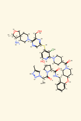 Cc1cn([C@H](C(=O)N2C[C@H](O)C[C@H]2C(=O)NCc2ccccc2OC2CCN(C(=O)C3CCN(c4nccc(Sc5cnc(N6CCC7(CC6)CO[C@@H](C)[C@H]7N)c(CO)n5)c4Cl)CC3)CC2)C(C)C)nn1